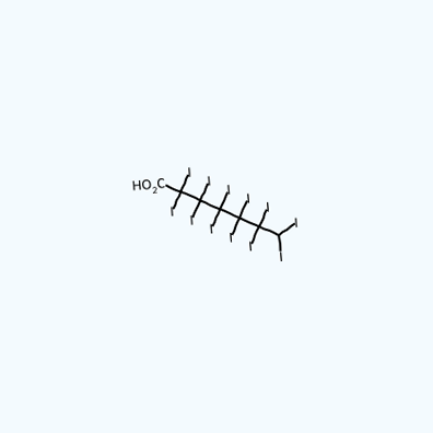 O=C(O)C(I)(I)C(I)(I)C(I)(I)C(I)(I)C(I)(I)C(I)I